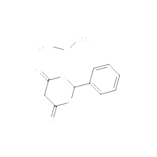 O=C1CC(=O)OC(c2ccccc2)O1.[SiH3]O[SiH3]